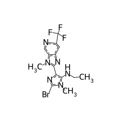 CCNc1c(-c2nc3cc(C(F)(F)F)ncc3n2C)nc(Br)n1C